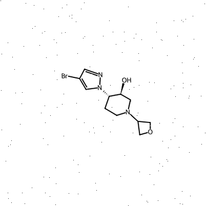 O[C@H]1CN(C2COC2)CC[C@@H]1n1cc(Br)cn1